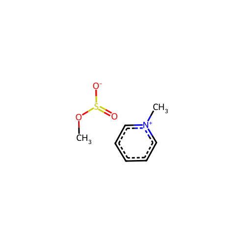 COS(=O)[O-].C[n+]1ccccc1